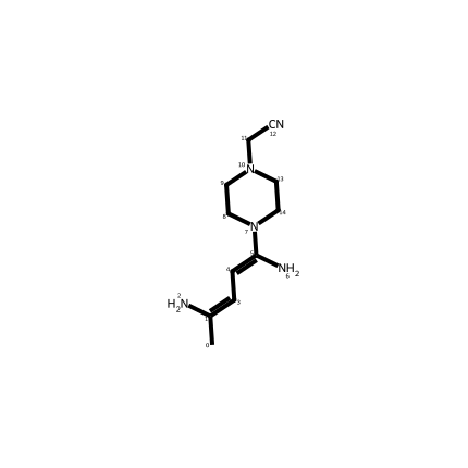 C/C(N)=C/C=C(\N)N1CCN(CC#N)CC1